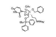 CC(=O)O[C@H]1[C@H](n2ccc(=O)[nH]c2=O)O[C@](CCCN=[N+]=[N-])(CO[Si](c2ccccc2)(c2ccccc2)C(C)(C)C)[C@H]1OCc1ccccc1